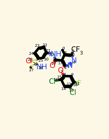 Cc1c(C(F)(F)F)nnc(Oc2cc(F)c(Cl)cc2Cl)c1C(=O)Nc1cccc(S(C)(=N)=O)c1